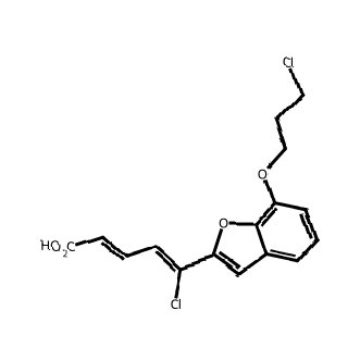 O=C(O)C=CC=C(Cl)c1cc2cccc(OCCCCl)c2o1